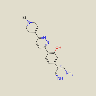 CCN1CC=C(c2ccc(-c3ccc(/C(C=N)=C/N)cc3O)nn2)CC1